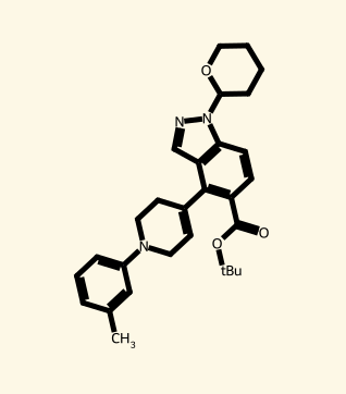 Cc1cccc(N2CC=C(c3c(C(=O)OC(C)(C)C)ccc4c3cnn4C3CCCCO3)CC2)c1